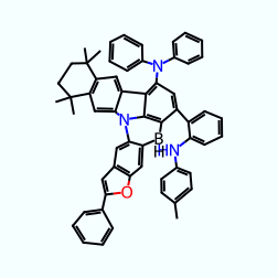 Cc1ccc(Nc2ccccc2-c2cc(N(c3ccccc3)c3ccccc3)c3c4cc5c(cc4n4c3c2Bc2cc3oc(-c6ccccc6)cc3cc2-4)C(C)(C)CCC5(C)C)cc1